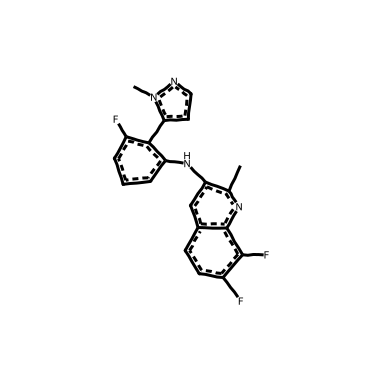 Cc1nc2c(F)c(F)ccc2cc1Nc1cccc(F)c1-c1ccnn1C